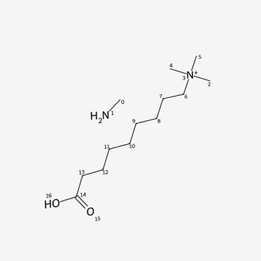 CN.C[N+](C)(C)CCCCCCCCC(=O)O